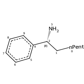 [CH2]CCCCC[C@@H](N)c1ccccc1